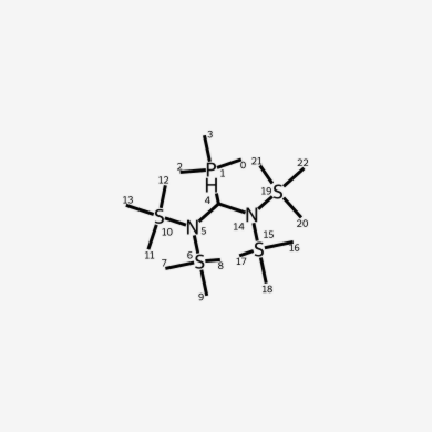 C[PH](C)(C)C(N(S(C)(C)C)S(C)(C)C)N(S(C)(C)C)S(C)(C)C